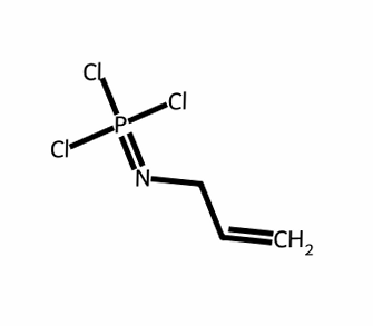 C=CCN=P(Cl)(Cl)Cl